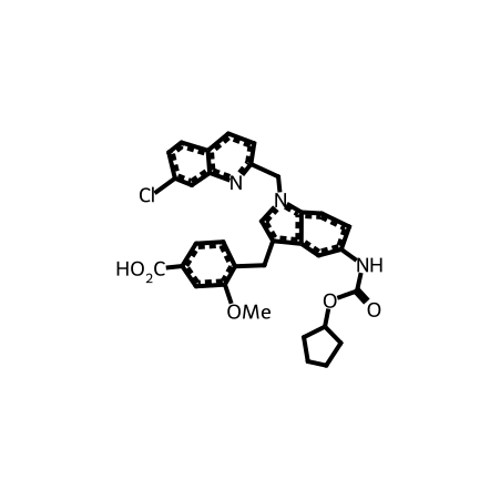 COc1cc(C(=O)O)ccc1Cc1cn(Cc2ccc3ccc(Cl)cc3n2)c2ccc(NC(=O)OC3CCCC3)cc12